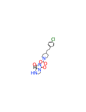 O=C(ON1C(=O)[C@@H]2CNCCN2C1=O)N1CCC(CCc2ccc(Cl)cc2)CC1